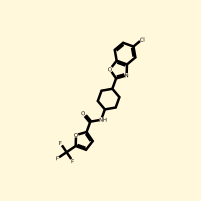 O=C(NC1CCC(c2nc3cc(Cl)ccc3o2)CC1)c1ccc(C(F)(F)F)o1